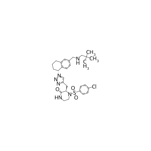 CC(C)(C)CNCc1ccc2c(c1)CCC[C@H]2n1cc(C[C@@H]2C(=O)NCCN2S(=O)(=O)c2ccc(Cl)cc2)nn1